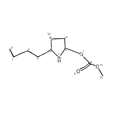 CCCCC1NC(OC(=O)OC)CS1